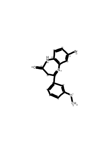 COc1cccc(C2=Nc3cc(Br)ccc3NC(=O)C2)c1